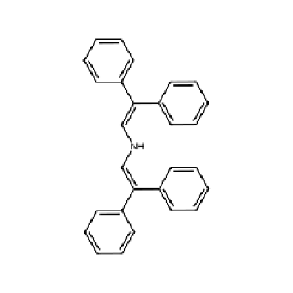 C(NC=C(c1ccccc1)c1ccccc1)=C(c1ccccc1)c1ccccc1